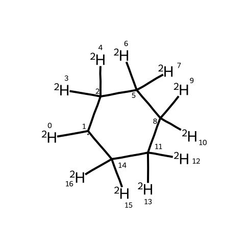 [2H][C]1C([2H])([2H])C([2H])([2H])C([2H])([2H])C([2H])([2H])C1([2H])[2H]